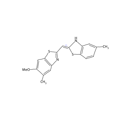 COc1cc2sc(/C=C3/Nc4cc(C)ccc4S3)nc2cc1C